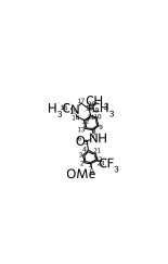 COc1ccc(C(=O)Nc2ccc3c(c2)CN(C)CC3(C)C)cc1C(F)(F)F